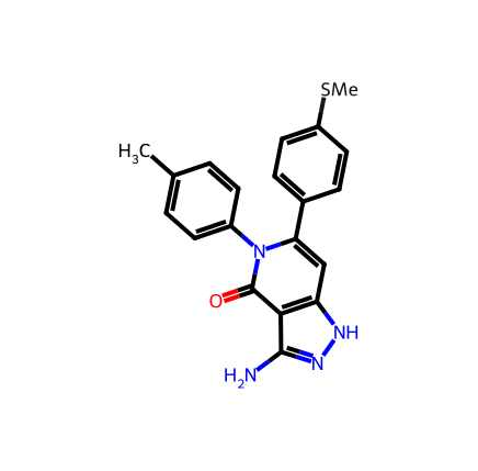 CSc1ccc(-c2cc3[nH]nc(N)c3c(=O)n2-c2ccc(C)cc2)cc1